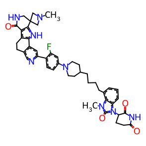 CN1CC2(CNC(=O)c3c2[nH]c2c3CCc3cnc(-c4ccc(N5CCC(CCCCc6cccc7c6n(C)c(=O)n7C6CCC(=O)NC6=O)CC5)cc4F)cc3-2)C1